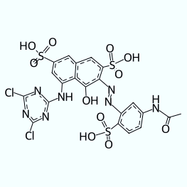 CC(=O)Nc1ccc(S(=O)(=O)O)c(N=Nc2c(S(=O)(=O)O)cc3cc(S(=O)(=O)O)cc(Nc4nc(Cl)nc(Cl)n4)c3c2O)c1